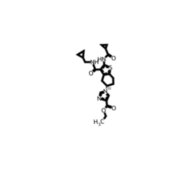 CCOC(=O)c1cn([C@H]2CCc3sc(NC(=O)C4CC4)c(C(=O)NCC4CC4)c3C2)cn1